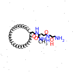 CNC(=O)[C@H](CCC(=O)NCC(O)CN)NC(=O)CC1CCCCCCCCCCCCCCCCCCCCCCCC1